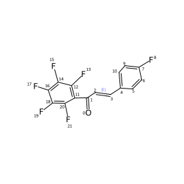 O=C(/C=C/c1ccc(F)cc1)c1c(F)c(F)c(F)c(F)c1F